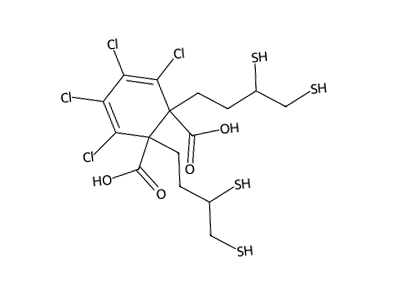 O=C(O)C1(CCC(S)CS)C(Cl)=C(Cl)C(Cl)=C(Cl)C1(CCC(S)CS)C(=O)O